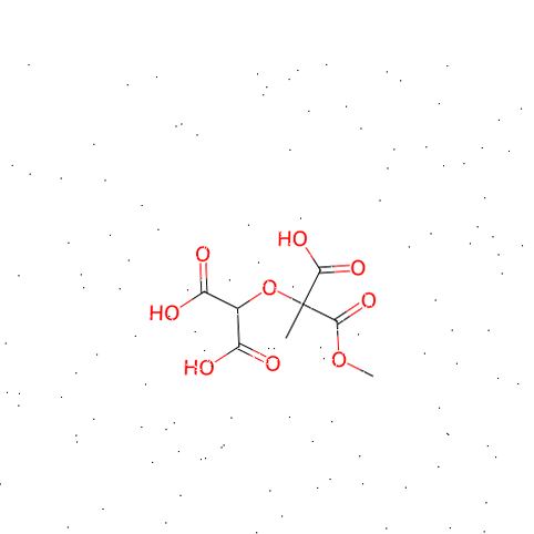 COC(=O)C(C)(OC(C(=O)O)C(=O)O)C(=O)O